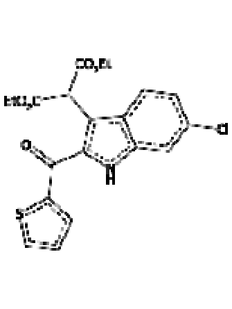 CCOC(=O)C(C(=O)OCC)c1c(C(=O)c2cccs2)[nH]c2cc(Cl)ccc12